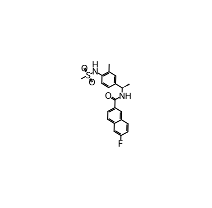 Cc1cc([C@@H](C)NC(=O)c2ccc3cc(F)ccc3c2)ccc1NS(C)(=O)=O